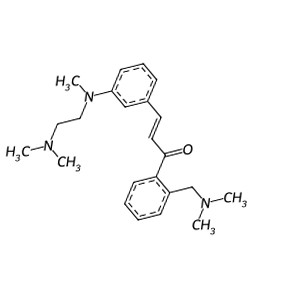 CN(C)CCN(C)c1cccc(C=CC(=O)c2ccccc2CN(C)C)c1